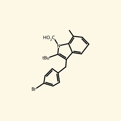 Cc1cccc2c(Cc3ccc(Br)cc3)c(C(C)(C)C)n(C(=O)O)c12